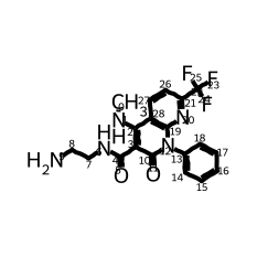 CNc1c(C(=O)NCCN)c(=O)n(-c2ccccc2)c2nc(C(F)(F)F)ccc12